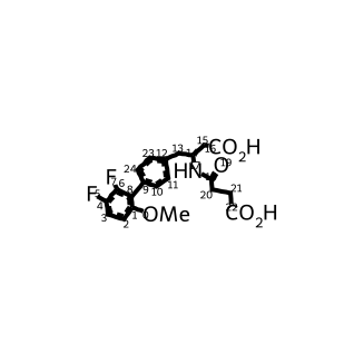 COc1ccc(F)c(F)c1-c1ccc(CC(CC(=O)O)NC(=O)CCC(=O)O)cc1